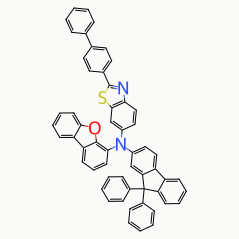 c1ccc(-c2ccc(-c3nc4ccc(N(c5ccc6c(c5)C(c5ccccc5)(c5ccccc5)c5ccccc5-6)c5cccc6c5oc5ccccc56)cc4s3)cc2)cc1